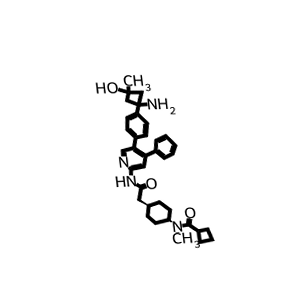 CN(C(=O)C1CCC1)[C@H]1CC[C@H](CC(=O)Nc2cc(-c3ccccc3)c(-c3ccc(C4(N)CC(C)(O)C4)cc3)cn2)CC1